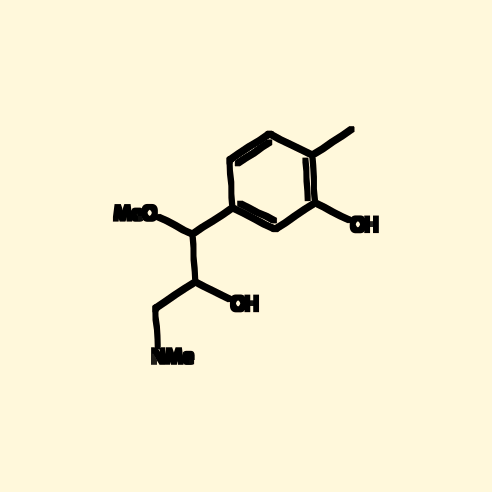 CNCC(O)C(OC)c1ccc(C)c(O)c1